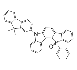 CC1(C)c2ccccc2-c2ccc(-n3c4ccccc4c4c5c(ccc43)-c3ccccc3P5(=O)c3ccccc3)cc21